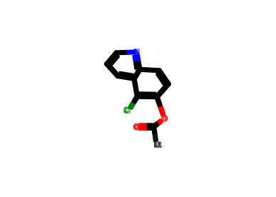 CCC(=O)Oc1ccc2ncccc2c1Cl